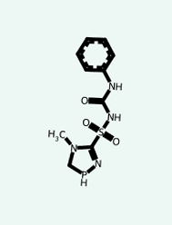 CN1CPN=C1S(=O)(=O)NC(=O)Nc1ccccc1